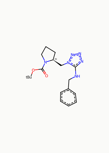 CC(C)(C)OC(=O)N1CCC[C@H]1Cn1nnnc1NCc1ccccc1